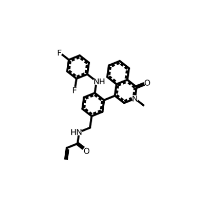 C=CC(=O)NCc1ccc(Nc2ccc(F)cc2F)c(-c2cn(C)c(=O)c3ccccc23)c1